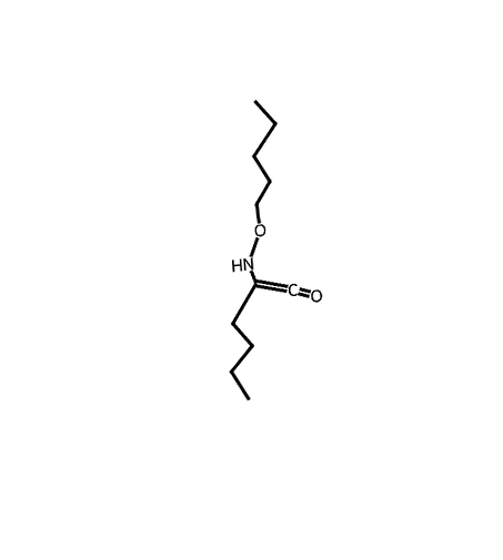 CCCCCONC(=C=O)CCCC